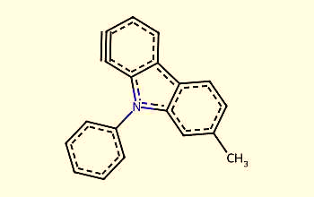 Cc1ccc2c3ccc#cc3n(-c3ccccc3)c2c1